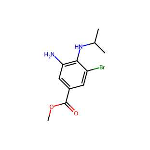 COC(=O)c1cc(N)c(NC(C)C)c(Br)c1